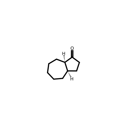 O=C1CC[C@H]2CCCCC[C@@H]12